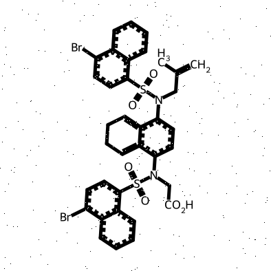 C=C(C)CN(c1ccc(N(CC(=O)O)S(=O)(=O)c2ccc(Br)c3ccccc23)c2c1=CCCC=2)S(=O)(=O)c1ccc(Br)c2ccccc12